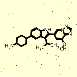 COc1cc(-c2[nH]c3ccc(C4CCC(N)CC4)cc3c2C(C)C)cn2ncnc12